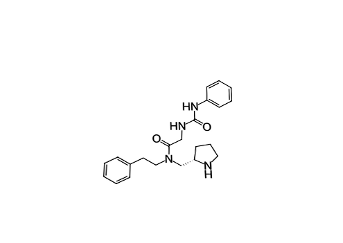 O=C(NCC(=O)N(CCc1ccccc1)C[C@@H]1CCCN1)Nc1ccccc1